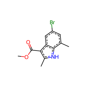 COC(=O)c1c(C)[nH]c2c(C)cc(Br)cc12